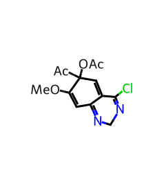 COC1=CC2=NCN=C(Cl)C2=CC1(OC(C)=O)C(C)=O